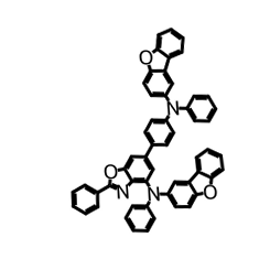 c1ccc(-c2nc3c(N(c4ccccc4)c4ccc5oc6ccccc6c5c4)cc(-c4ccc(N(c5ccccc5)c5ccc6oc7ccccc7c6c5)cc4)cc3o2)cc1